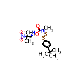 CN(SSc1ccc(C(C)(C)C)cc1)C(=O)ON=CC(C)(C)[N+](=O)[O-]